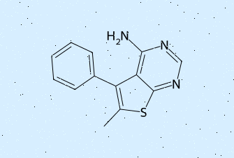 Cc1sc2ncnc(N)c2c1-c1ccccc1